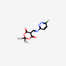 CC1(C)OC(=O)C(/C=N/c2ccc(Cl)nn2)C(=O)O1